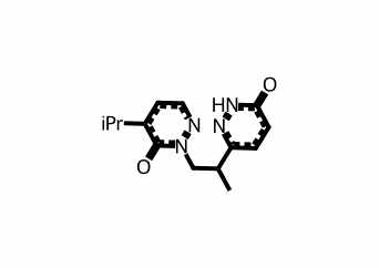 CC(C)c1ccnn(CC(C)c2ccc(=O)[nH]n2)c1=O